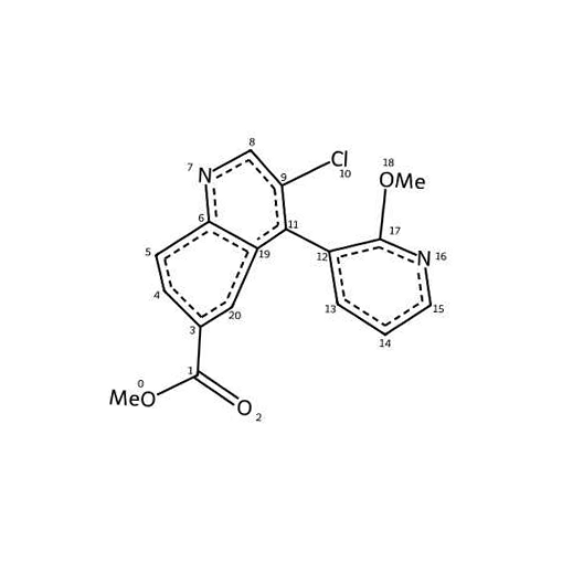 COC(=O)c1ccc2ncc(Cl)c(-c3cccnc3OC)c2c1